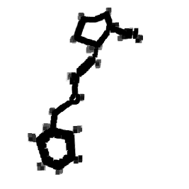 BN1CCC[C@H]1C=NOCc1ccccc1